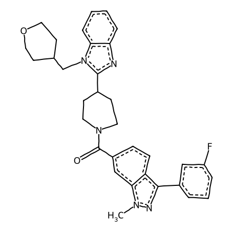 Cn1nc(-c2cccc(F)c2)c2ccc(C(=O)N3CCC(c4nc5ccccc5n4CC4CCOCC4)CC3)cc21